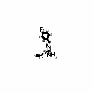 C#CCS/C(N)=N\N=C\c1ccc(F)cc1